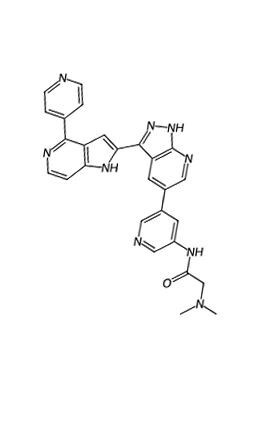 CN(C)CC(=O)Nc1cncc(-c2cnc3[nH]nc(-c4cc5c(-c6ccncc6)nccc5[nH]4)c3c2)c1